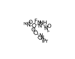 CC(C)c1ccc(-c2ccc(Oc3cc(-c4n[nH]c(C5CC(=O)N(C6CC6)C5)n4)c(F)cc3CN3C[C@@H](C)CC3=O)cc2)nn1